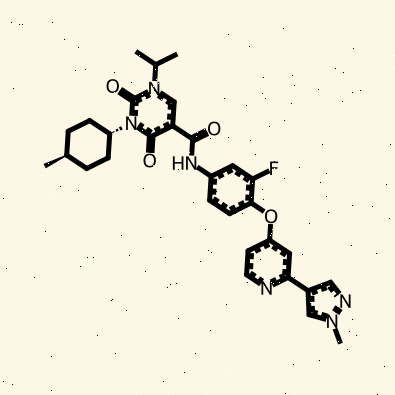 CC(C)n1cc(C(=O)Nc2ccc(Oc3ccnc(-c4cnn(C)c4)c3)c(F)c2)c(=O)n([C@H]2CC[C@H](C)CC2)c1=O